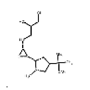 COC(C)(C)C1CC(C2OC2NCC(O)CO)N(C)C1